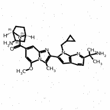 COc1cc(C(=O)N2[C@H]3CC[C@@H]2[C@H](N)C3)cc2nc(-c3cc4ccc(C(C)(C)N)nc4n3CC3CC3)c(C)n12